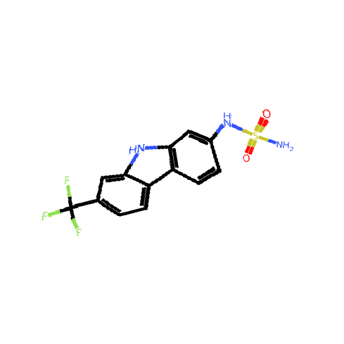 NS(=O)(=O)Nc1ccc2c(c1)[nH]c1cc(C(F)(F)F)ccc12